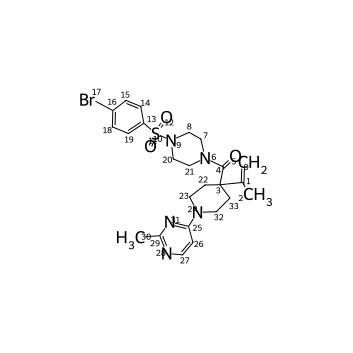 C=C(C)C1(C(=O)N2CCN(S(=O)(=O)c3ccc(Br)cc3)CC2)CCN(c2ccnc(C)n2)CC1